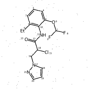 CCc1cccc(OC(F)F)c1NC(=O)C(Cl)Cn1cccn1